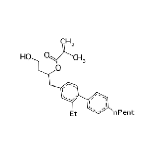 C=C(C)C(=O)OC(CCO)Cc1ccc(-c2ccc(CCCCC)cc2)c(CC)c1